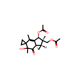 CC(=O)OC[C@@]1(C)[C@H](OC(C)=O)C2=C(C)C3(CC3)C(C)(O)C(=O)[C@@]23C[C@H]31